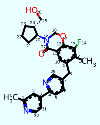 Cc1cc(-c2ccc(Cc3cc4c(c(F)c3C)OCN([C@H]3CCC[C@@H]3CO)C4=O)cn2)ccn1